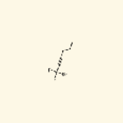 [CH2]CCC#CC(F)(F)Br